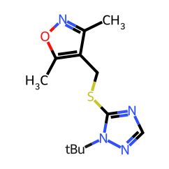 Cc1noc(C)c1CSc1ncnn1C(C)(C)C